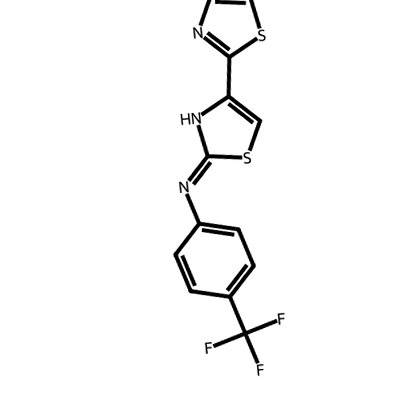 FC(F)(F)c1ccc(N=c2[nH]c(-c3nccs3)cs2)cc1